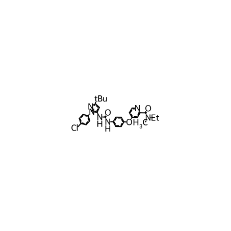 CCN(C)C(=O)c1cc(Oc2ccc(NC(=O)Nc3cc(C(C)(C)C)nn3-c3ccc(Cl)cc3)cc2)ccn1